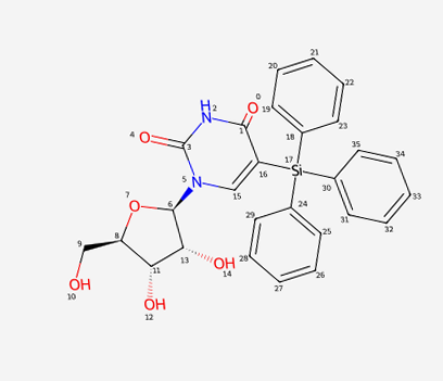 O=c1[nH]c(=O)n([C@@H]2O[C@H](CO)[C@@H](O)[C@H]2O)cc1[Si](c1ccccc1)(c1ccccc1)c1ccccc1